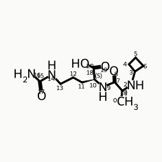 C[C@H](NC1CCC1)C(=O)N[C@@H](CCCNC(N)=O)C(=O)O